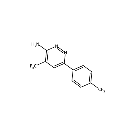 Nc1nnc(-c2ccc(C(F)(F)F)cc2)cc1C(F)(F)F